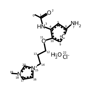 CC(=O)Nc1cc(N)ccc1OCCC[n+]1ccn(C)c1.O.[Cl-]